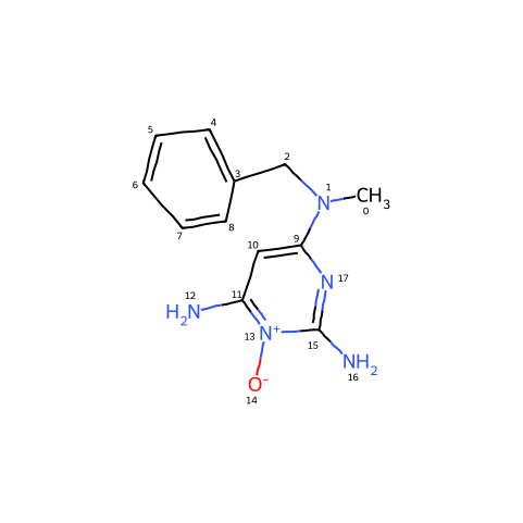 CN(Cc1ccccc1)c1cc(N)[n+]([O-])c(N)n1